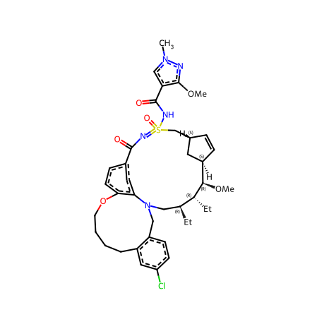 CC[C@H]1CN2Cc3ccc(Cl)cc3CCCCOc3ccc(cc32)C(=O)N=S(=O)(NC(=O)c2cn(C)nc2OC)C[C@@H]2C=C[C@H](C2)[C@@H](OC)[C@@H]1CC